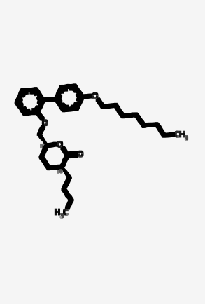 CCCCCCCCOc1ccc(-c2ccccc2OC[C@@H]2CC[C@H](CCCC)C(=O)O2)cc1